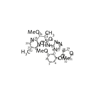 COc1cccc(OC)c1-n1c(NS(=O)(=O)C(C)C(OC)c2ncc(C)cn2)nnc1[C@@H]1COCCO1